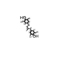 Cc1cc(CCC(C)Cc2cc(C)c(O)c(C)c2)cc(C)c1O